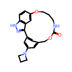 O=C1NCCCOc2ccc3[nH]nc(c3c2)-c2cc(cc(N3CCC3)c2)CO1